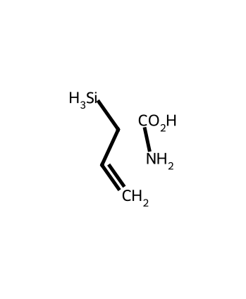 C=CC[SiH3].NC(=O)O